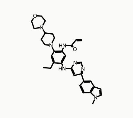 C=CC(=O)Nc1cc(Nc2cc(-c3ccc4c(ccn4C)c3)ncn2)c(CC)cc1N1CCC(N2CCOCC2)CC1